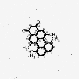 Cc1ccc2ccc(C)c3c4c(C)cc5c6c(cc(C)c(c1c23)c64)C(=O)CC5=O